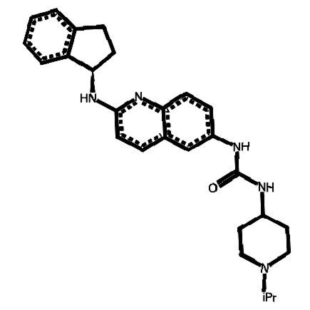 CC(C)N1CCC(NC(=O)Nc2ccc3nc(N[C@@H]4CCc5ccccc54)ccc3c2)CC1